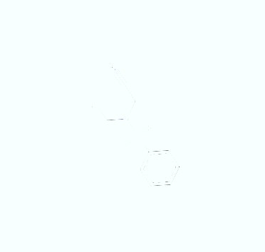 CCN(CC#N)S(=O)(=O)c1ccccc1